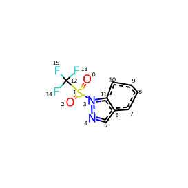 O=S(=O)(n1ncc2ccccc21)C(F)(F)F